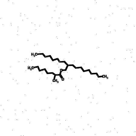 CCCCCCCCCC(CCCCCCCC)COC(=O)C(C)CCCCCC